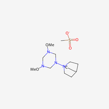 CON1CN(OC)CN([N+]23CCC(CC2)CC3)C1.CS(=O)(=O)[O-]